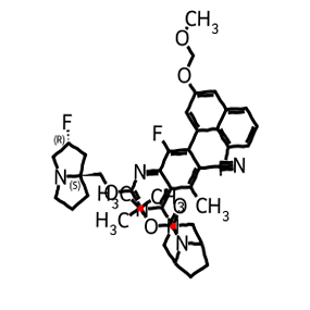 COCOc1cc(-c2c(C#N)c(C)c3c(N4CC5CCC(C4)N5C(=O)OC(C)(C)C)nc(OC[C@@]45CCCN4C[C@H](F)C5)nc3c2F)c2c(F)cccc2c1